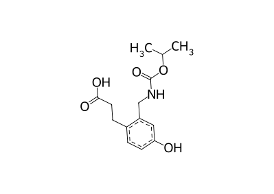 CC(C)OC(=O)NCc1cc(O)ccc1CCC(=O)O